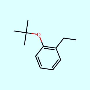 CCc1[c]cccc1OC(C)(C)C